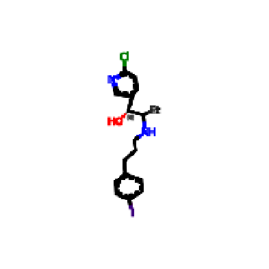 CCC(NCCCc1ccc(I)cc1)[C@H](O)c1ccc(Cl)nc1